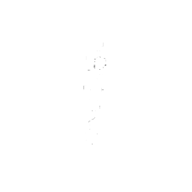 CCOc1ccc(OCC(F)C(F)C2CCC(/C=C/C3CCC(C)CC3)CC2)c(F)c1F